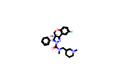 CN1CCCC(CN(C)C(=O)N2N=C3c4cc(F)ccc4OC[C@@H]3[C@H]2c2ccccc2)C1